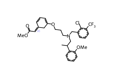 COC(=O)/C=C1\C=CC=C(OCCCN(Cc2cccc(C(F)(F)F)c2Cl)CC(C)c2ccccc2OC)C1